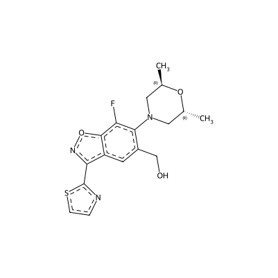 C[C@@H]1CN(c2c(CO)cc3c(-c4nccs4)noc3c2F)C[C@@H](C)O1